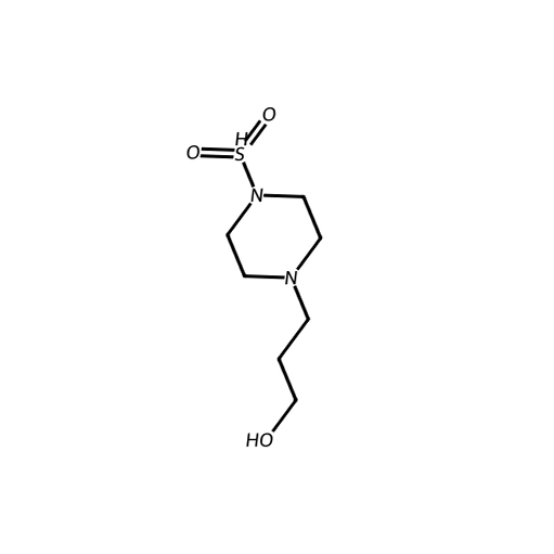 O=[SH](=O)N1CCN(CCCO)CC1